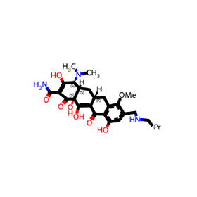 COc1c(CNCC(C)C)cc(O)c2c1C[C@H]1C[C@H]3[C@H](N(C)C)C(O)=C(C(N)=O)C(=O)[C@@]3(O)C(O)=C1C2=O